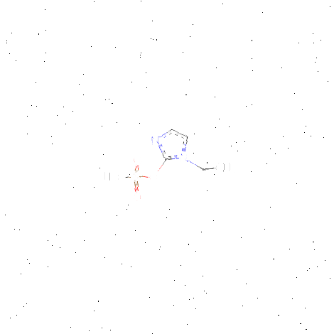 CCn1ccnc1OS(C)(=O)=O